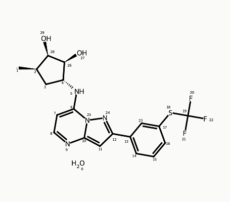 O.[CH2][C@@H]1C[C@@H](Nc2ccnc3cc(-c4cccc(SC(F)(F)F)c4)nn23)[C@H](O)[C@@H]1O